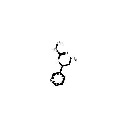 CC(C)(C)NC(=O)OC(CN)c1cccnc1